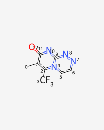 Cc1c(C(F)(F)F)n2ccnnc2nc1=O